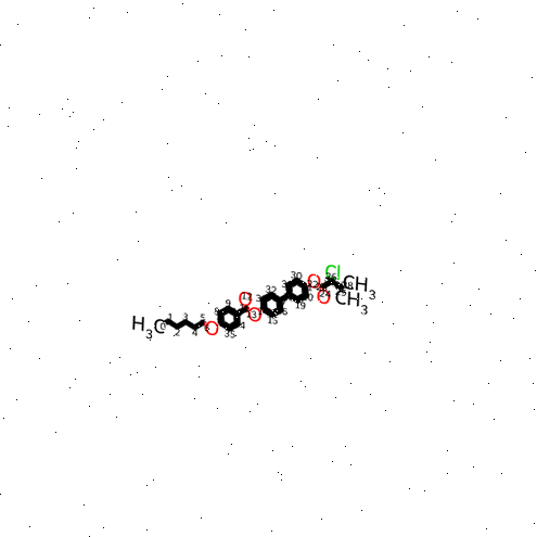 CCCCCCOc1ccc(C(=O)Oc2ccc(-c3ccc(OC(=O)[C@@H](Cl)C(C)C)cc3)cc2)cc1